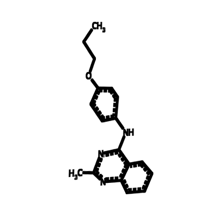 CCCOc1ccc(Nc2nc(C)nc3ccccc23)cc1